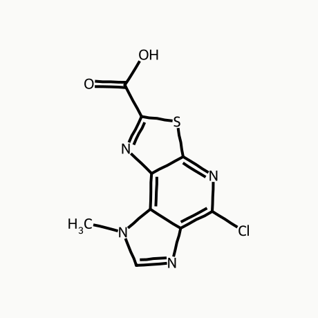 Cn1cnc2c(Cl)nc3sc(C(=O)O)nc3c21